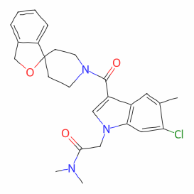 Cc1cc2c(C(=O)N3CCC4(CC3)OCc3ccccc34)cn(CC(=O)N(C)C)c2cc1Cl